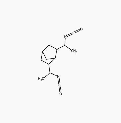 CC(N=C=O)C1CC2CC(C(C)N=C=O)C1C2